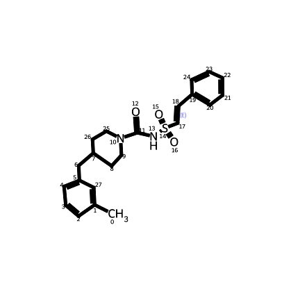 Cc1cccc(CC2CCN(C(=O)NS(=O)(=O)/C=C/c3ccccc3)CC2)c1